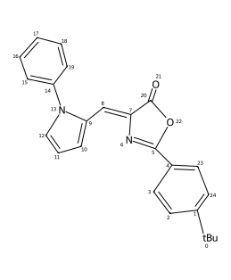 CC(C)(C)c1ccc(C2=NC(=Cc3cccn3-c3ccccc3)C(=O)O2)cc1